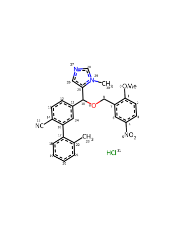 COc1ccc([N+](=O)[O-])cc1COC(c1ccc(C#N)c(-c2ccccc2C)c1)c1cncn1C.Cl